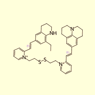 CCc1cc(/C=C/c2cccc[n+]2CCSSCC[n+]2ccccc2/C=C/c2cc3c4c(c2)CCCN4CCC3)cc2c1NCCC2